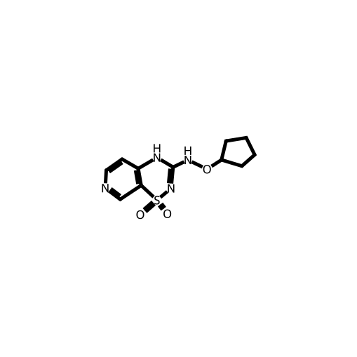 O=S1(=O)N=C(NOC2CCCC2)Nc2ccncc21